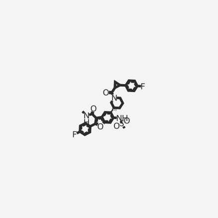 CNC(=O)c1c(-c2ccc(F)cc2)oc2cc(NS(C)(=O)=O)c([C@@H]3CCCN(C(=O)C4CC4c4ccc(F)cc4)C3)cc12